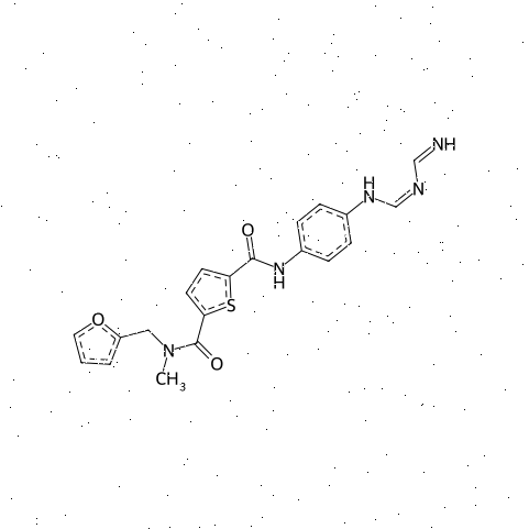 CN(Cc1ccco1)C(=O)c1ccc(C(=O)Nc2ccc(N/C=N\C=N)cc2)s1